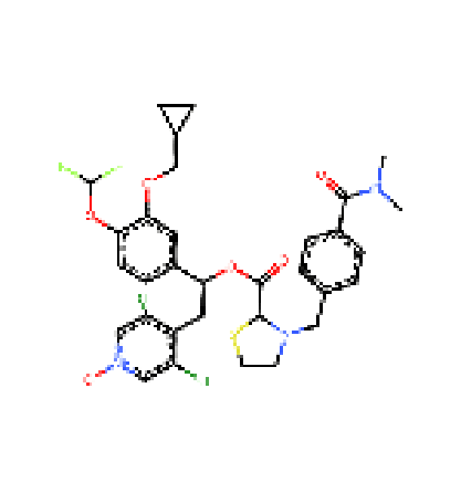 CN(C)C(=O)c1ccc(CN2CCS[C@H]2C(=O)O[C@@H](Cc2c(Cl)c[n+]([O-])cc2Cl)c2ccc(OC(F)F)c(OCC3CC3)c2)cc1